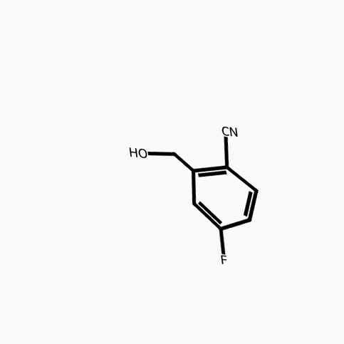 N#Cc1ccc(F)cc1CO